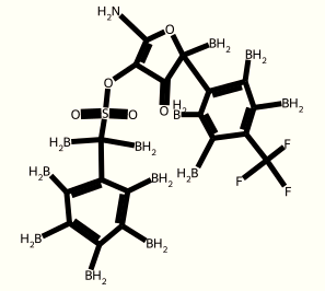 Bc1c(B)c(B)c(C(B)(B)S(=O)(=O)OC2=C(N)OC(B)(c3c(B)c(B)c(C(F)(F)F)c(B)c3B)C2=O)c(B)c1B